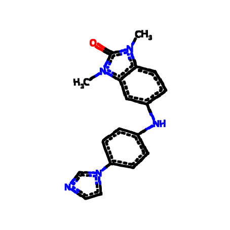 Cn1c(=O)n(C)c2cc(Nc3ccc(-n4ccnc4)cc3)ccc21